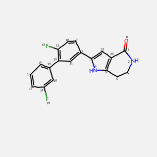 O=C1NCCc2[nH]c(-c3ccc(F)c(-c4cccc(F)c4)c3)cc21